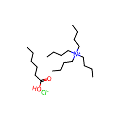 CCCCCC(=O)O.CCCC[N+](CCCC)(CCCC)CCCC.[Cl-]